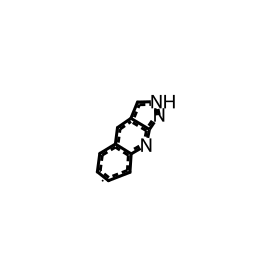 [c]1ccc2cc3c[nH]nc3nc2c1